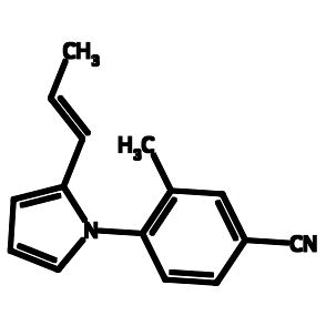 C/C=C/c1cccn1-c1ccc(C#N)cc1C